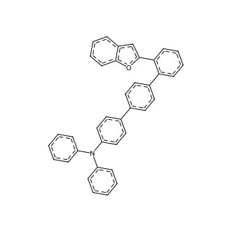 c1ccc(N(c2ccccc2)c2ccc(-c3ccc(-c4ccccc4-c4cc5ccccc5o4)cc3)cc2)cc1